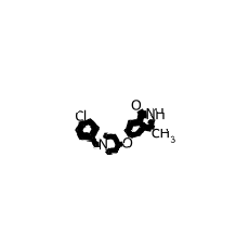 Cc1c[nH]c(=O)c2ccc(OC3CCN(Cc4ccc(Cl)cc4)CC3)cc12